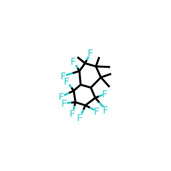 CC1(C)C2C(C(F)(F)C(C)(F)C1(C)C)C(F)(F)C(F)(F)C(F)(F)C2(F)F